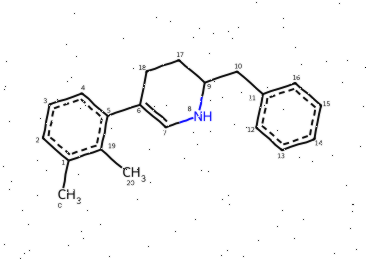 Cc1cccc(C2=CNC(Cc3ccccc3)CC2)c1C